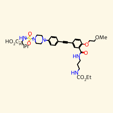 CCOC(=O)NCCCNC(=O)c1cc(C#Cc2ccc(N3CCN(S(=O)(=O)N[C@@H](C(=O)O)C(C)C)CC3)cc2)ccc1OCCOC